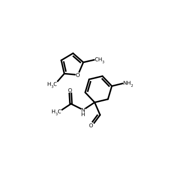 CC(=O)NC1(C=O)C=CC=C(N)C1.Cc1ccc(C)o1